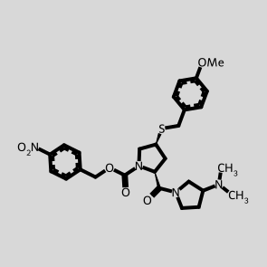 COc1ccc(CS[C@H]2C[C@@H](C(=O)N3CCC(N(C)C)C3)N(C(=O)OCc3ccc([N+](=O)[O-])cc3)C2)cc1